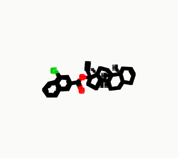 C#C[C@]1(OC(=O)c2cc(Cl)c3ccccc3c2)CC[C@H]2[C@@H]3CCC4CC=CC[C@@H]4[C@H]3CC[C@@]21C